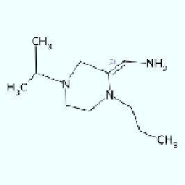 CCCN1CCN(C(C)C)C/C1=C/N